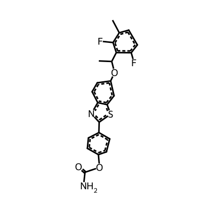 Cc1ccc(F)c(C(C)Oc2ccc3nc(-c4ccc(OC(N)=O)cc4)sc3c2)c1F